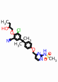 CCC(O)COc1c(Cl)cc(C(C)(C)c2ccc(OCc3ccnc(NS(C)(=O)=O)n3)cc2)cc1C#N